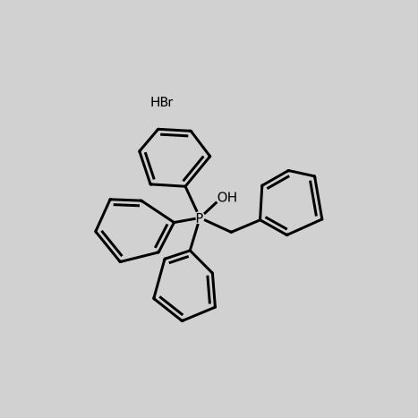 Br.OP(Cc1ccccc1)(c1ccccc1)(c1ccccc1)c1ccccc1